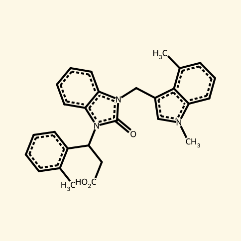 Cc1ccccc1C(CC(=O)O)n1c(=O)n(Cc2cn(C)c3cccc(C)c23)c2ccccc21